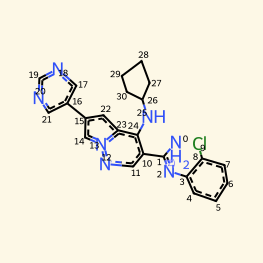 N/C(=N\c1ccccc1Cl)c1cnn2cc(-c3cncnc3)cc2c1NC1CCCC1